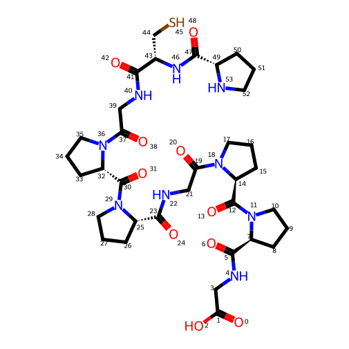 O=C(O)CNC(=O)[C@@H]1CCCN1C(=O)[C@@H]1CCCN1C(=O)CNC(=O)[C@@H]1CCCN1C(=O)[C@@H]1CCCN1C(=O)CNC(=O)[C@H](CS)NC(=O)[C@@H]1CCCN1